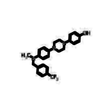 CN(Cc1ccc(C(F)(F)F)cc1)c1ccc(N2CCN(c3ccc(O)cc3)CC2)cc1